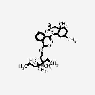 C=CCC(C)(C)[C@](C)(C=C)CCOC(=O)c1ccccc1C(=O)N1C2CC(C)CCC2(C)CS1(=O)=O